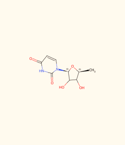 C[C@@H]1O[C@H](n2ccc(=O)[nH]c2=O)C(O)C1O